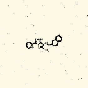 CC1=NN2C(c3ccccn3)=NNC2C1N=Nc1ccc2ccccc2c1